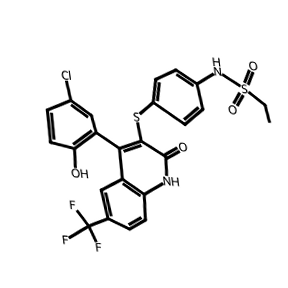 CCS(=O)(=O)Nc1ccc(Sc2c(-c3cc(Cl)ccc3O)c3cc(C(F)(F)F)ccc3[nH]c2=O)cc1